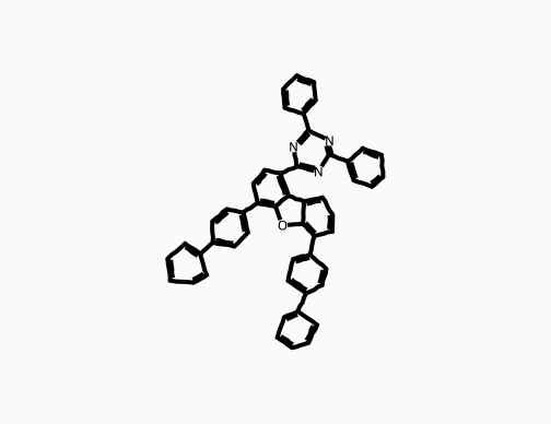 c1ccc(-c2ccc(-c3cccc4c3oc3c(-c5ccc(-c6ccccc6)cc5)ccc(-c5nc(-c6ccccc6)nc(-c6ccccc6)n5)c34)cc2)cc1